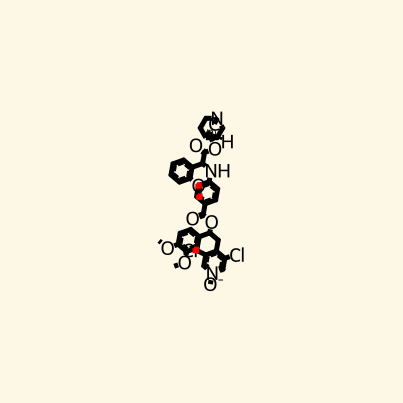 COc1ccc(C(Cc2c(Cl)c[n+]([O-])cc2Cl)OC(=O)c2ccc(NC(C(=O)O[C@H]3CN4CCC3CC4)c3ccccc3OC)cc2)cc1OC